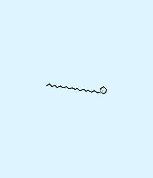 CCCCCCCCCCCCCCCCCCCN1CCCCC1